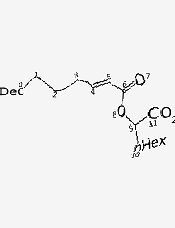 CCCCCCCCCCCCCC=CC(=O)OC(CCCCCC)C(=O)O